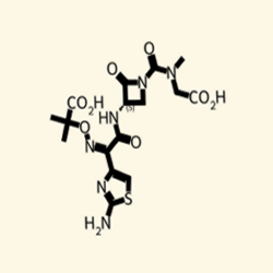 CN(CC(=O)O)C(=O)N1C[C@H](NC(=O)C(=NOC(C)(C)C(=O)O)c2csc(N)n2)C1=O